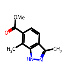 COC(=O)c1ccc2c(C)n[nH]c2c1C